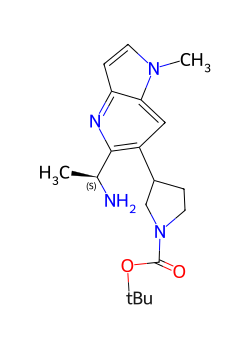 C[C@H](N)c1nc2ccn(C)c2cc1C1CCN(C(=O)OC(C)(C)C)C1